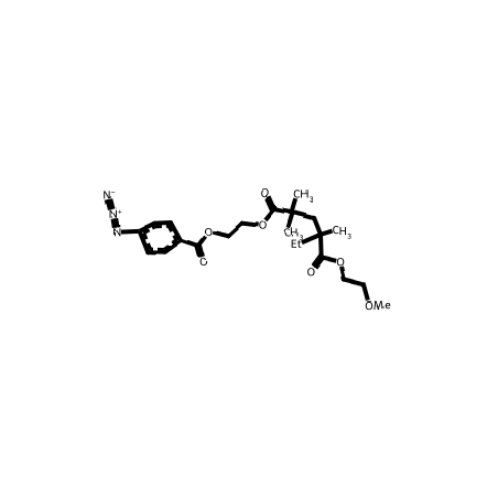 CCC(C)(CC(C)(C)C(=O)OCCOC(=O)c1ccc(N=[N+]=[N-])cc1)C(=O)OCCOC